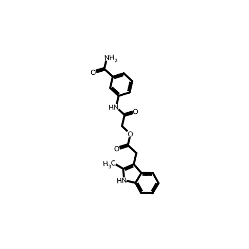 Cc1[nH]c2ccccc2c1CC(=O)OCC(=O)Nc1cccc(C(N)=O)c1